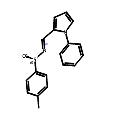 Cc1ccc([S@@+]([O-])/N=C/c2cccn2-c2ccccc2)cc1